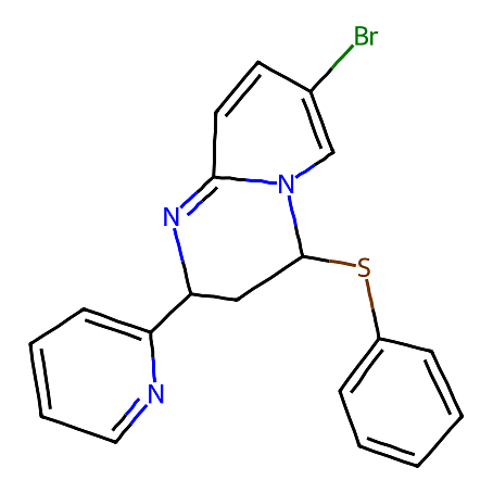 BrC1=CN2C(=NC(c3ccccn3)CC2Sc2ccccc2)C=C1